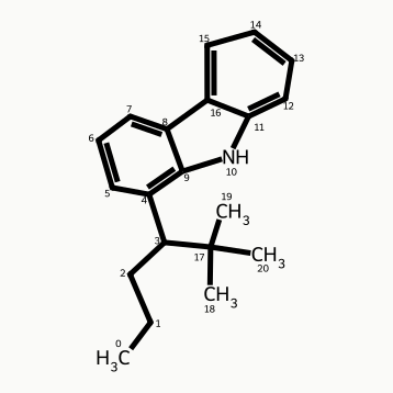 CCCC(c1cccc2c1[nH]c1ccccc12)C(C)(C)C